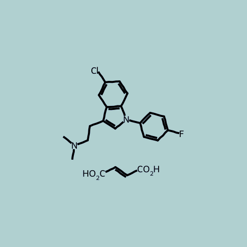 CN(C)CCc1cn(-c2ccc(F)cc2)c2ccc(Cl)cc12.O=C(O)C=CC(=O)O